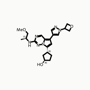 COC[C@H](C)Nc1ncc2c(-c3cnn(C4COC4)c3)cc([C@@H]3CC[C@@H](O)C3)n2n1